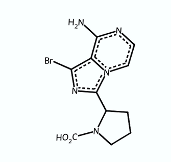 Nc1nccn2c(C3CCCN3C(=O)O)nc(Br)c12